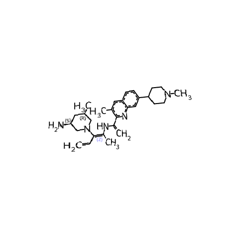 C=C/C(=C(\C)NC(=C)c1nc2cc(C3CCN(C)CC3)ccc2cc1C)N1C[C@H](C)C[C@H](N)C1